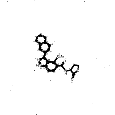 COc1c(C(=O)NC2CCOC2=O)ccc2[nH]nc(-c3ccc4ccccc4c3)c12